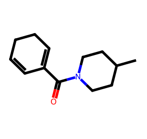 CC1CCN(C(=O)C2=CCCC=C2)CC1